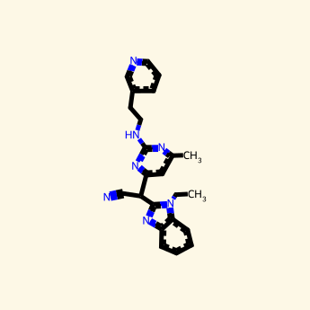 CCn1c(C(C#N)c2cc(C)nc(NCCc3cccnc3)n2)nc2ccccc21